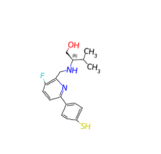 CC(C)[C@H](CO)NCc1nc(-c2ccc(S)cc2)ccc1F